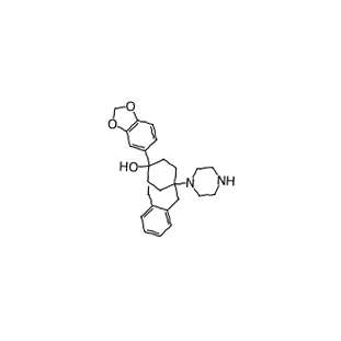 OC1(c2ccc3c(c2)OCO3)CCC(Cc2ccccc2I)(N2CCNCC2)CC1